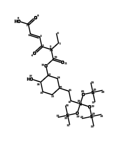 CCN(C(=O)C=CC(=O)O)C(=O)OC1CC(CC[Si](O[Si](C)(C)C)(O[Si](C)(C)C)O[Si](C)(C)C)CCC1O